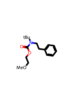 COCCOC(=O)N(CCc1ccccc1)C(C)(C)C